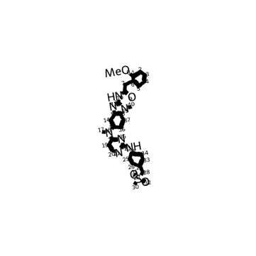 COc1ccccc1CC(=O)Nc1nc2cc(N(C)c3ccnc(Nc4ccc(CS(C)(=O)=O)cc4)n3)ccc2n1C